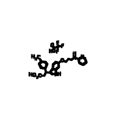 Cc1ccc(C(CC(=O)O)c2c[nH]c3cc(OCCCNc4ccccn4)ccc23)cc1.O=C(O)C(F)(F)F